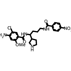 COc1cc(N)c(Cl)cc1C(=O)NC(CCCNC(=O)c1ccc([N+](=O)[O-])cc1)C1CCNC1